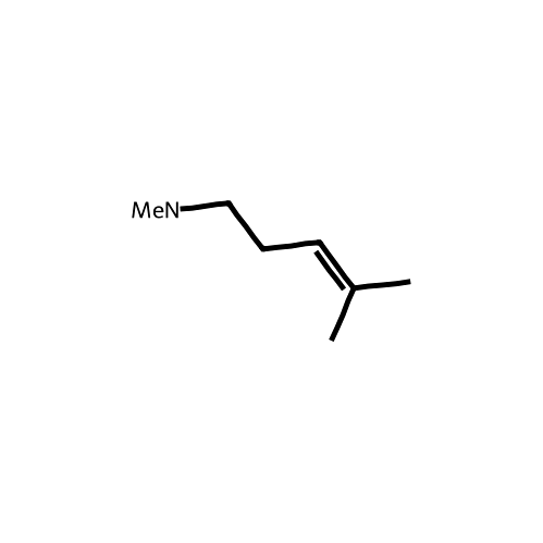 CNCCC=C(C)C